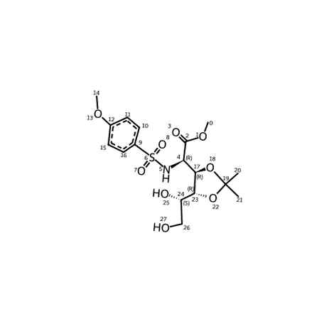 COC(=O)[C@H](NS(=O)(=O)c1ccc(OC)cc1)[C@H]1OC(C)(C)O[C@@H]1[C@@H](O)CO